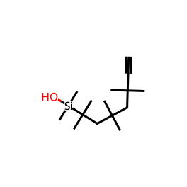 C#CC(C)(C)CC(C)(C)CC(C)(C)[Si](C)(C)O